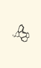 O=C1C=c2c3cccc4cccc(c5cccc(c25)C1)c43